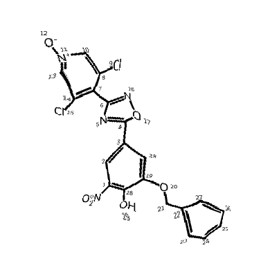 O=[N+]([O-])c1cc(-c2nc(-c3c(Cl)c[n+]([O-])cc3Cl)no2)cc(OCc2ccccc2)c1O